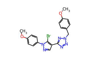 COc1ccc(Cn2nnc(-c3cnn(-c4ccc(OC)cc4)c3Br)n2)cc1